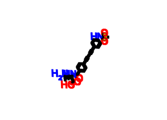 C[C@@H](N)[C@H](NC(=O)c1ccc(C#CC#Cc2ccc(NS(C)(=O)=O)cc2)cc1)C(=O)O